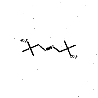 CC(C)(CN=NCC(C)(C)C(=O)O)C(=O)O